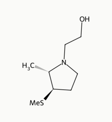 CS[C@@H]1CCN(CCO)[C@H]1C